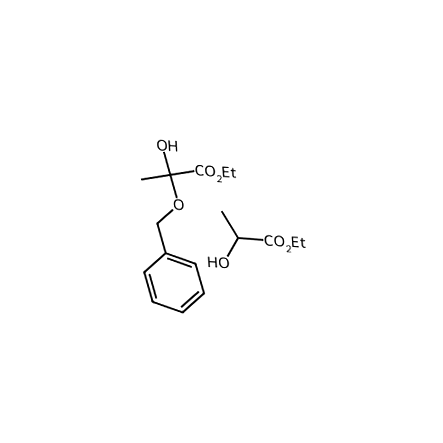 CCOC(=O)C(C)(O)OCc1ccccc1.CCOC(=O)C(C)O